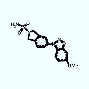 COc1ccc2c(c1)nnn2-c1ccc2c(c1)CN(S(N)(=O)=O)C2